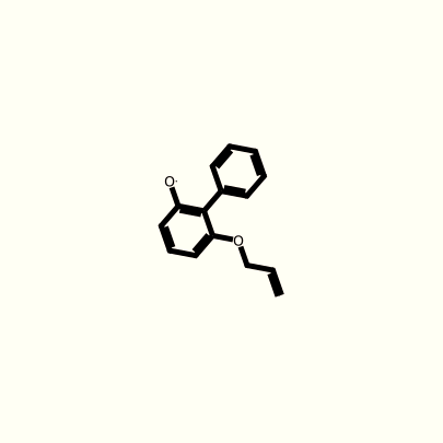 C=CCOc1cccc([O])c1-c1ccccc1